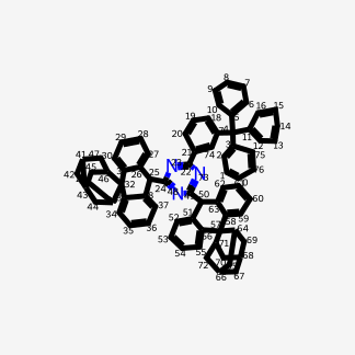 c1ccc(C(c2ccccc2)(c2ccccc2)c2cccc(-c3nc(C4c5ccccc5C5(c6ccccc64)C4CC6CC(C4)CC5C6)nc(C4c5ccccc5C5(c6ccccc64)C4CC6CC(C4)CC5C6)n3)c2)cc1